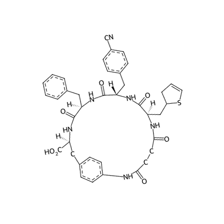 N#Cc1ccc(C[C@@H]2NC(=O)[C@@H](CC3CC=CS3)NC(=O)CCC(=O)Nc3ccc(cc3)C[C@@H](C(=O)O)NC(=O)[C@@H](Cc3ccccc3)NC2=O)cc1